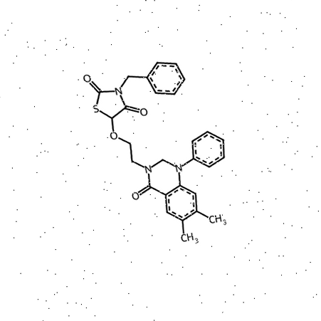 Cc1cc2c(cc1C)N(c1ccccc1)CN(CCOC1SC(=O)N(Cc3ccccc3)C1=O)C2=O